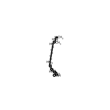 Cc1cc(NCCOCCOCCOCCOCCOCCNC(=O)CN2CCN(c3ccc(Nc4ncc5cc6n(c5n4)C4(CCCCC4)CNC6=O)nc3)CC2)ccc1C(=O)NC1=NCC(C)S1